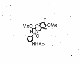 COc1c(F)ccc(Cn2c(=O)c(OC)nn(-c3cccc(NC(C)=O)c3)c2=O)c1F